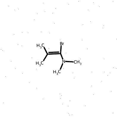 CC(C)=C(Br)N(C)C